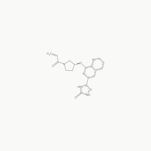 C=CC(=O)N1CC[C@H](Oc2nc(-c3n[nH]c(=O)[nH]3)cc3cccnc23)C1